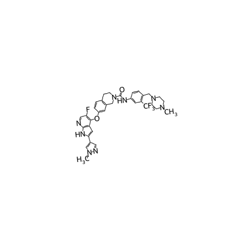 CN1CCN(Cc2ccc(NC(=O)N3CCc4ccc(Oc5c(F)cnc6[nH]c(-c7cnn(C)c7)cc56)cc4C3)cc2C(F)(F)F)CC1